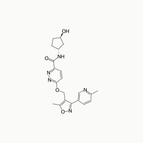 Cc1ccc(-c2noc(C)c2COc2ccc(C(=O)N[C@@H]3CC[C@@H](O)C3)nn2)cn1